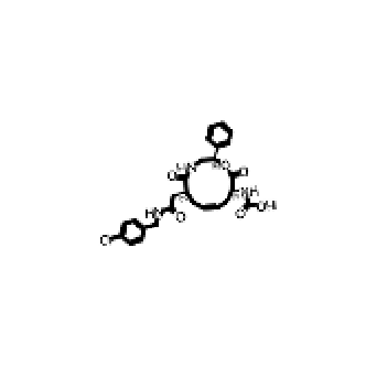 O=C(O)N[C@@H]1CC=CC[C@@H](CC(=O)NCc2ccc(Cl)cc2)C(=O)NC[C@@H](c2ccccc2)OC1=O